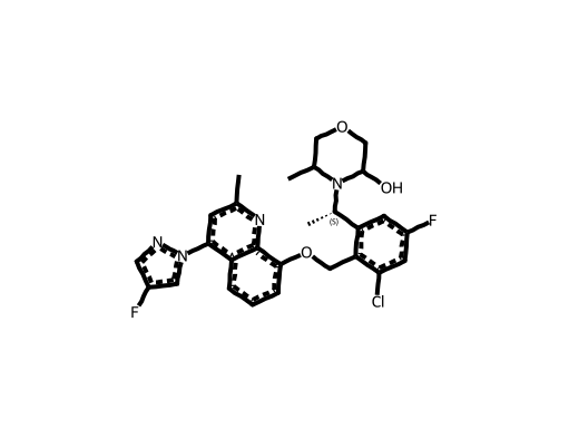 Cc1cc(-n2cc(F)cn2)c2cccc(OCc3c(Cl)cc(F)cc3[C@H](C)N3C(C)COCC3O)c2n1